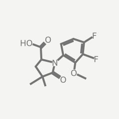 COc1c(N2C(=O)C(C)(C)CC2C(=O)O)ccc(F)c1F